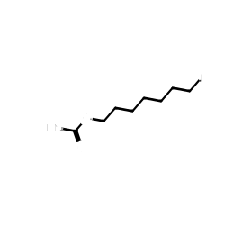 NC(=O)OCCCCCCCI